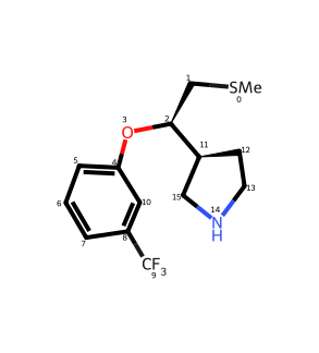 CSC[C@H](Oc1cccc(C(F)(F)F)c1)[C@H]1CCNC1